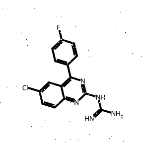 N=C(N)Nc1nc(-c2ccc(F)cc2)c2cc(Cl)ccc2n1